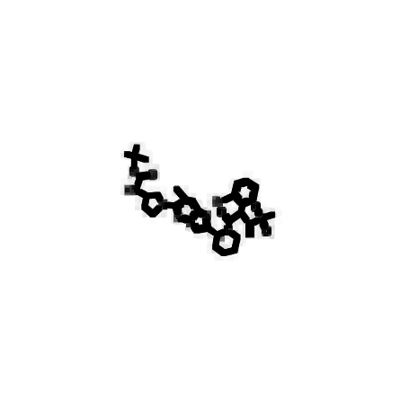 Cc1cc2nc([C@@H]3CCCCN3C(=O)C(NS(C)(=O)=O)c3ccccc3Br)cn2nc1N1CCC(NC(=O)OC(C)(C)C)C1